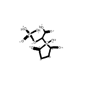 O=C(O)C(OP(=O)(O)O)[N+]1(O)C(=O)CCC1=O